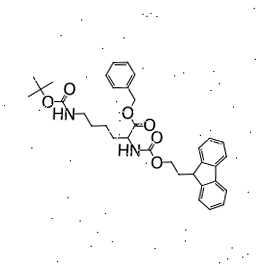 CC(C)(C)OC(=O)NCCCCC(NC(=O)OCCC1c2ccccc2-c2ccccc21)C(=O)OCc1ccccc1